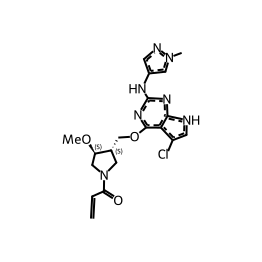 C=CC(=O)N1C[C@@H](COc2nc(Nc3cnn(C)c3)nc3[nH]cc(Cl)c23)[C@H](OC)C1